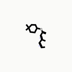 C=C(/C=C(C)/C=C\C)OC1CCC(C)(C)CC1